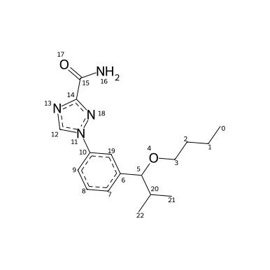 CCCCOC(c1cccc(-n2cnc(C(N)=O)n2)c1)C(C)C